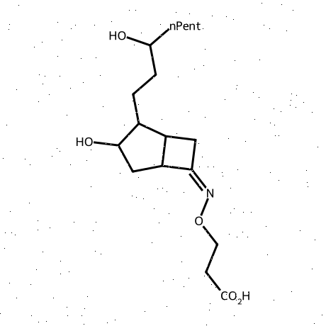 CCCCCC(O)CCC1C(O)CC2C(=NOCCC(=O)O)CC21